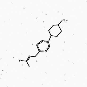 CCCCCCCCCC1CCC(c2ccc(CC=C(F)F)cc2)CC1